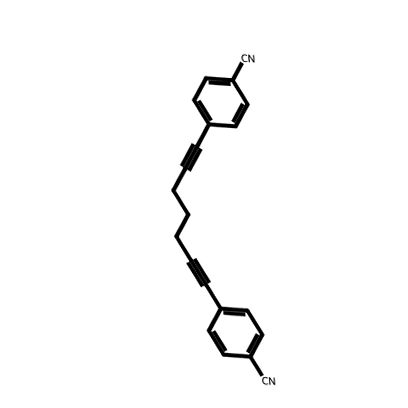 N#Cc1ccc(C#CCCCC#Cc2ccc(C#N)cc2)cc1